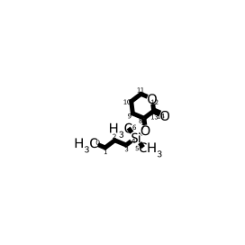 CCCC[Si](C)(C)OC1CCCOC1=O